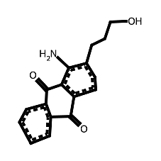 Nc1c(CCCO)ccc2c1C(=O)c1ccccc1C2=O